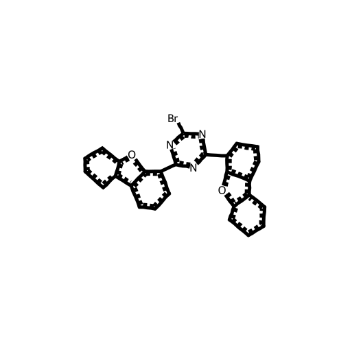 Brc1nc(-c2cccc3c2oc2ccccc23)nc(-c2cccc3c2oc2ccccc23)n1